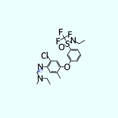 CCN=S(=O)(c1cccc(Oc2cc(Cl)c(/N=C\N(C)CC)cc2C)c1)C(F)(F)F